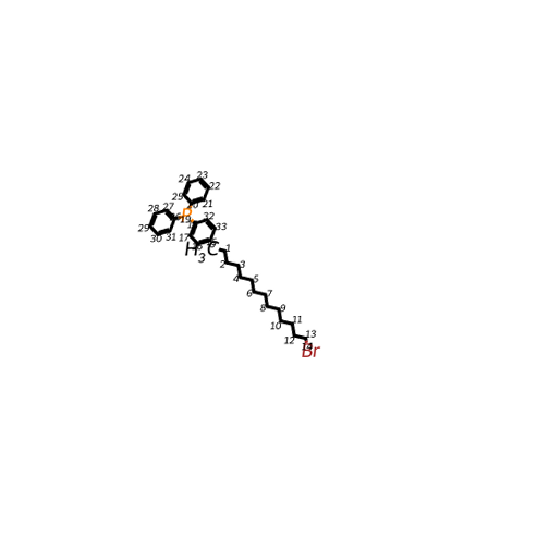 CCCCCCCCCCCCCCBr.c1ccc(P(c2ccccc2)c2ccccc2)cc1